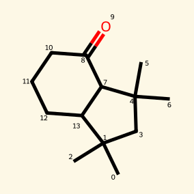 CC1(C)CC(C)(C)C2C(=O)CCCC21